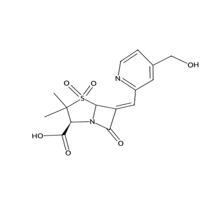 CC1(C)[C@H](C(=O)O)N2C(=O)/C(=C/c3cc(CO)ccn3)C2S1(=O)=O